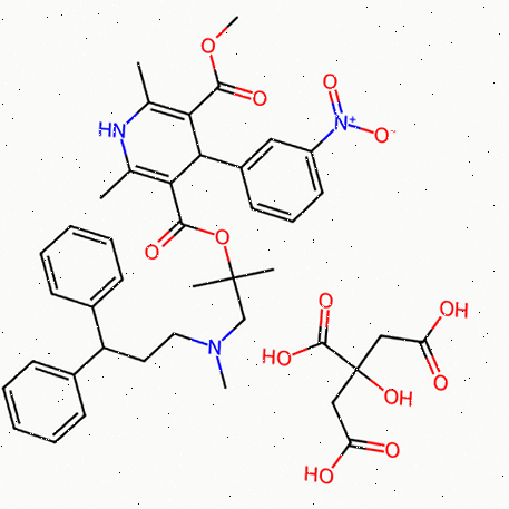 COC(=O)C1=C(C)NC(C)=C(C(=O)OC(C)(C)CN(C)CCC(c2ccccc2)c2ccccc2)C1c1cccc([N+](=O)[O-])c1.O=C(O)CC(O)(CC(=O)O)C(=O)O